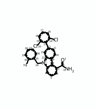 NC(=O)c1cccc2c1c1[c]cc(-c3c(Cl)cccc3Cl)cc1n2Cc1ccccc1I